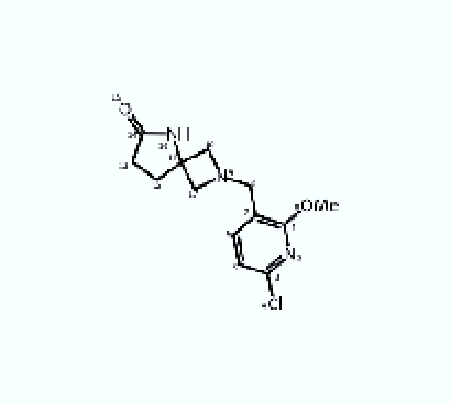 COc1nc(Cl)ccc1CN1CC2(CCC(=O)N2)C1